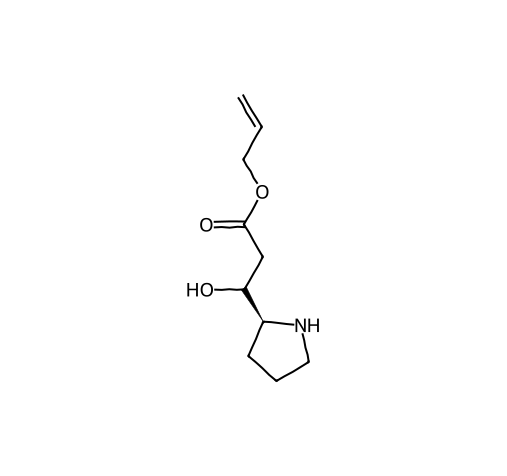 C=CCOC(=O)CC(O)[C@@H]1CCCN1